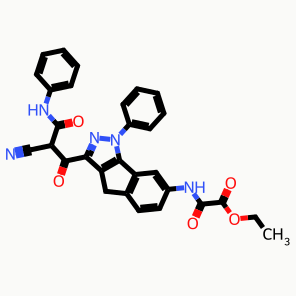 CCOC(=O)C(=O)Nc1ccc2c(c1)-c1c(c(C(=O)C(C#N)C(=O)Nc3ccccc3)nn1-c1ccccc1)C2